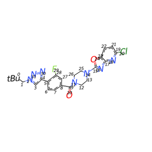 CC(C)(C)Cn1cc(-c2ccc(C(=O)N3CCN(c4nc5nc(Cl)ccc5o4)CC3)cc2F)nn1